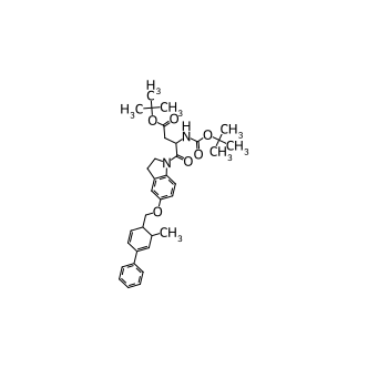 CC1C=C(c2ccccc2)C=CC1COc1ccc2c(c1)CCN2C(=O)C(CC(=O)OC(C)(C)C)NC(=O)OC(C)(C)C